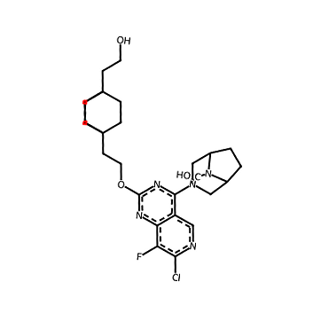 O=C(O)N1C2CCC1CN(c1nc(OCCC34CCC(CCO)(CC3)CC4)nc3c(F)c(Cl)ncc13)C2